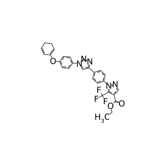 CCOC(=O)c1cnn(-c2ccc(-c3cn(-c4ccc(OC5=CCCC=C5)cc4)nn3)cc2)c1C(F)(F)F